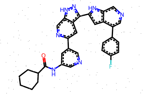 O=C(Nc1cncc(-c2cc3c(-c4cc5c(-c6ccc(F)cc6)cncc5[nH]4)n[nH]c3cn2)c1)C1CCCCC1